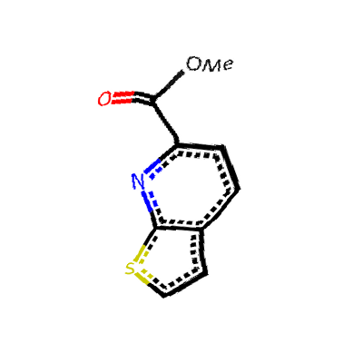 COC(=O)c1ccc2ccsc2n1